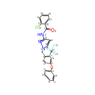 O=C(Nc1ccn(Cc2ccc(Oc3ccccc3)cc2C(F)(F)F)n1)c1ccccc1Cl